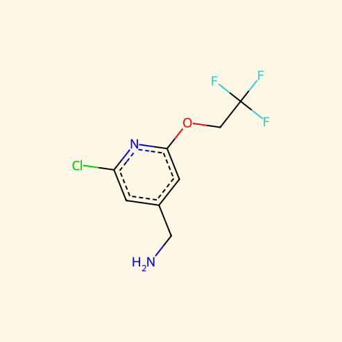 NCc1cc(Cl)nc(OCC(F)(F)F)c1